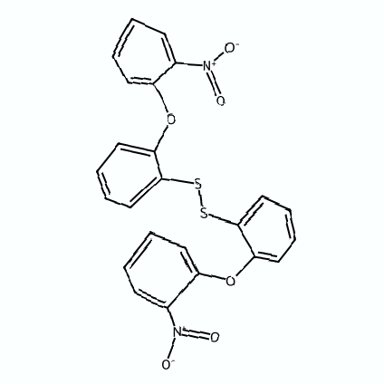 O=[N+]([O-])c1ccccc1Oc1ccccc1SSc1ccccc1Oc1ccccc1[N+](=O)[O-]